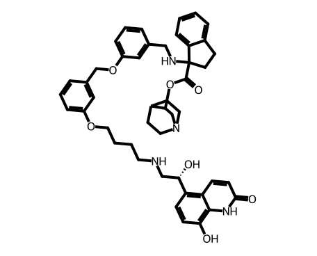 O=C(OC1CN2CCC1CC2)C1(NCc2cccc(OCc3cccc(OCCCCNC[C@H](O)c4ccc(O)c5[nH]c(=O)ccc45)c3)c2)CCc2ccccc21